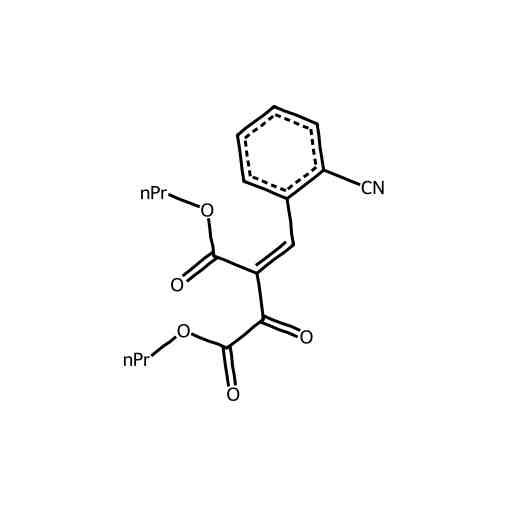 CCCOC(=O)C(=O)C(=Cc1ccccc1C#N)C(=O)OCCC